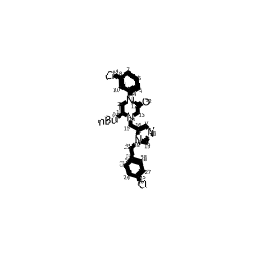 CCCCC1CN(c2cccc(Cl)c2)C(=O)CN1Cc1cncn1Cc1ccc(Cl)cc1